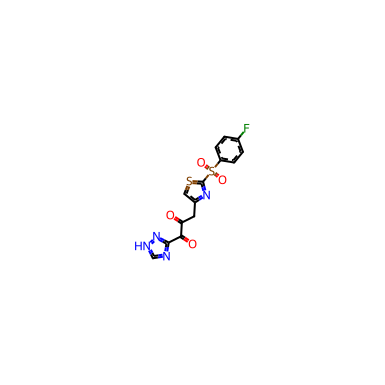 O=C(Cc1csc(S(=O)(=O)c2ccc(F)cc2)n1)C(=O)c1nc[nH]n1